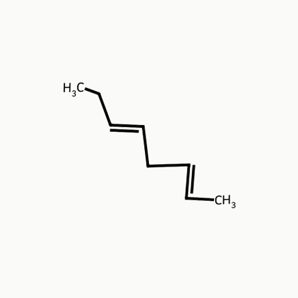 CC=CCC=CCC